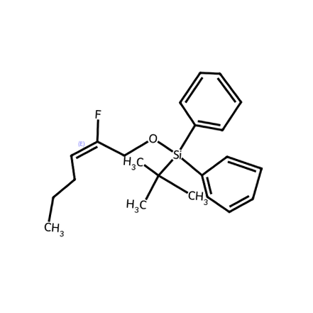 CCC/C=C(/F)CO[Si](c1ccccc1)(c1ccccc1)C(C)(C)C